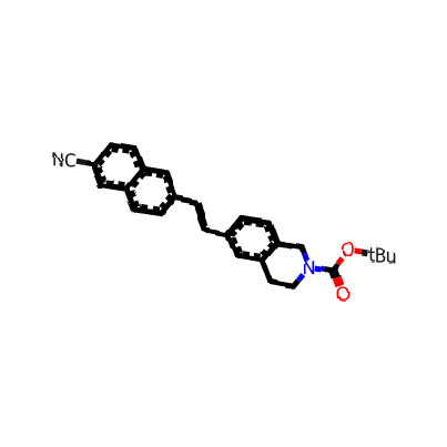 CC(C)(C)OC(=O)N1CCc2cc(C=Cc3ccc4cc(C#N)ccc4c3)ccc2C1